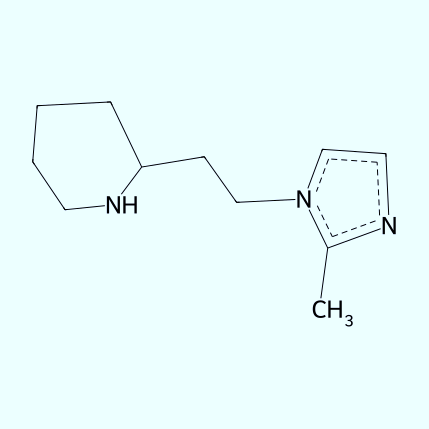 Cc1nccn1CCC1CCCCN1